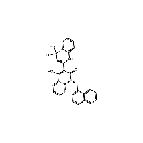 O=c1c(C2=NS(O)(O)c3ccccc3N2)c(O)c2cccnc2n1Cc1cccc2ccccc12